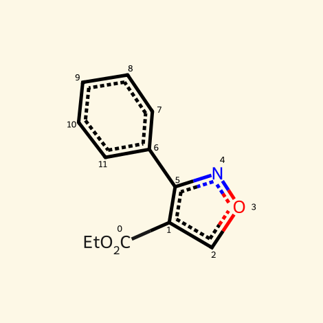 CCOC(=O)c1conc1-c1ccccc1